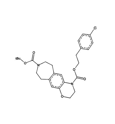 CC(C)(C)OC(=O)N1CCc2cc3c(cc2CC1)N(C(=O)OCCc1ccc(Cl)cc1)CCO3